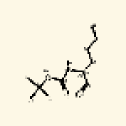 [CH2]CCC[C@@H](C=O)NC(=O)OC(C)(C)C